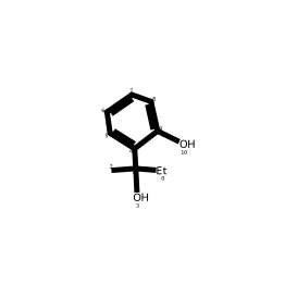 CCC(C)(O)c1cc[c]cc1O